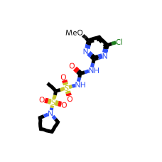 COc1cc(Cl)nc(NC(=O)NS(=O)(=O)C(C)S(=O)(=O)N2CCCC2)n1